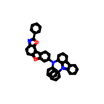 c1ccc(-c2nc3ccc4oc5cc(N(c6ccccc6)c6cccc7c8ccccc8n(-c8ccccc8)c67)ccc5c4c3o2)cc1